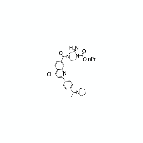 CCCOC(=O)N1CCN(C(=O)c2ccc3c(Cl)cc(-c4ccc(C(C)N5CCCC5)cc4)nc3c2)C[C@H]1N